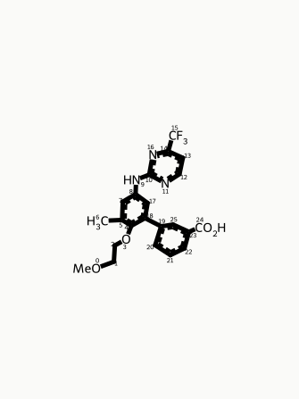 COCCOc1c(C)cc(Nc2nccc(C(F)(F)F)n2)cc1-c1cccc(C(=O)O)c1